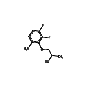 CC(O)COc1c(N)ccc(F)c1F